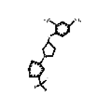 Cc1cc(N)ccc1OC1CCN(c2cccc(C(F)(F)F)c2)C1